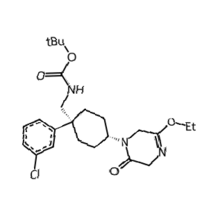 CCOC1=NCC(=O)N([C@H]2CC[C@](CNC(=O)OC(C)(C)C)(c3cccc(Cl)c3)CC2)C1